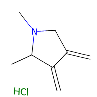 C=C1CN(C)C(C)C1=C.Cl